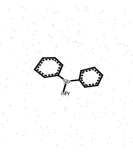 CC[CH2][Sb]([c]1ccccc1)[c]1ccccc1